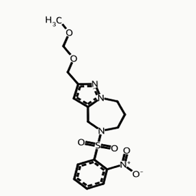 COCOCc1cc2n(n1)CCCN(S(=O)(=O)c1ccccc1[N+](=O)[O-])C2